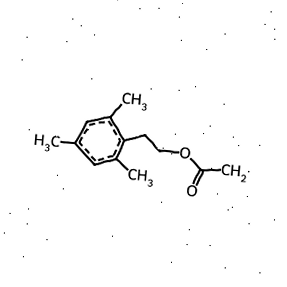 [CH2]C(=O)OCCc1c(C)cc(C)cc1C